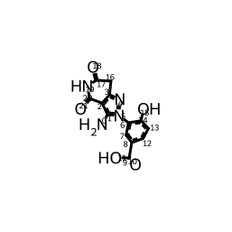 Nc1c2c(nn1-c1cc(C(=O)O)ccc1O)CC(=O)NC2=O